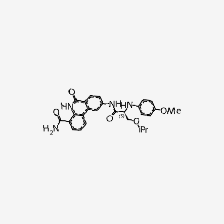 COc1ccc(N[C@@H](COC(C)C)C(=O)Nc2ccc3c(=O)[nH]c4c(C(N)=O)cccc4c3c2)cc1